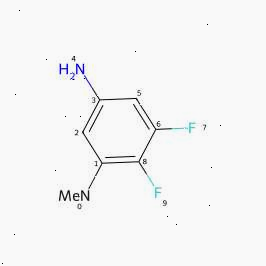 CNc1cc(N)cc(F)c1F